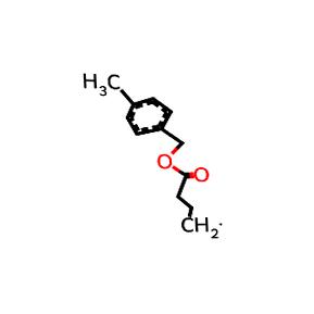 [CH2]CCC(=O)OCc1ccc(C)cc1